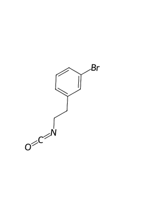 O=C=NCCc1cccc(Br)c1